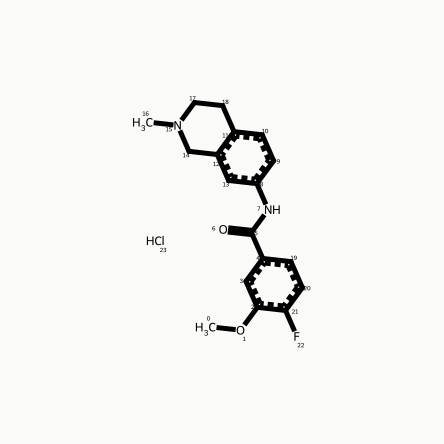 COc1cc(C(=O)Nc2ccc3c(c2)CN(C)CC3)ccc1F.Cl